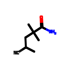 C[C](C#N)CC(C)(C)C(N)=O